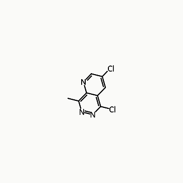 Cc1nnc(Cl)c2cc(Cl)cnc12